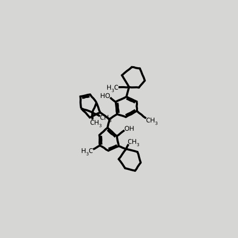 Cc1cc(C(c2cc(C)cc(C3(C)CCCCC3)c2O)C2CC3C=CC2C3(C)C)c(O)c(C2(C)CCCCC2)c1